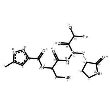 Cc1cc(C(=O)NC(CC(C)(C)C)C(=O)NN(C[C@H]2CCNC2=O)C(=O)C(F)Cl)no1